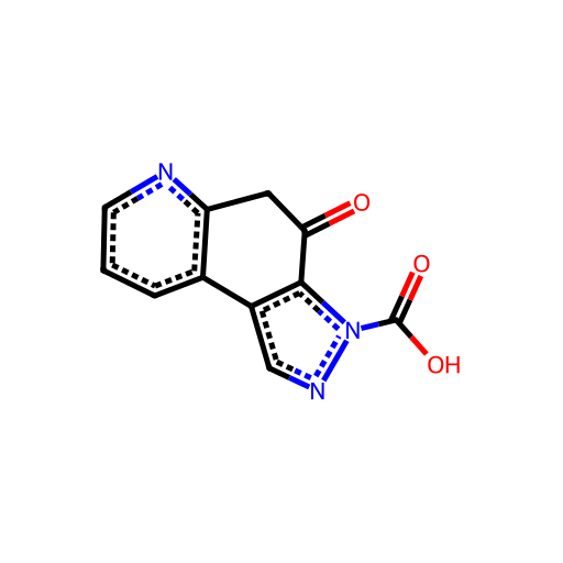 O=C1Cc2ncccc2-c2cnn(C(=O)O)c21